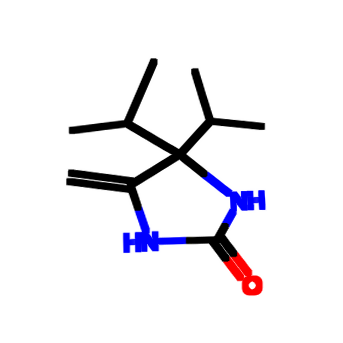 C=C1NC(=O)NC1(C(C)C)C(C)C